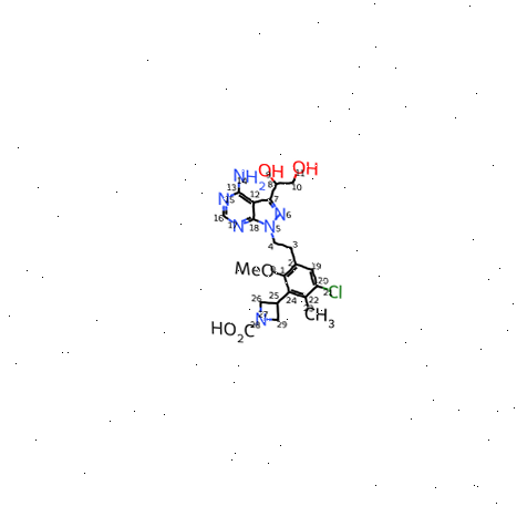 COc1c(CCn2nc(C(O)CO)c3c(N)ncnc32)cc(Cl)c(C)c1C1CN(C(=O)O)C1